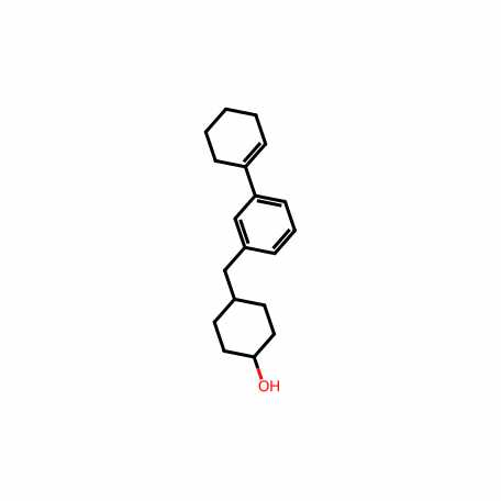 OC1CCC(Cc2cccc(C3=CCCCC3)c2)CC1